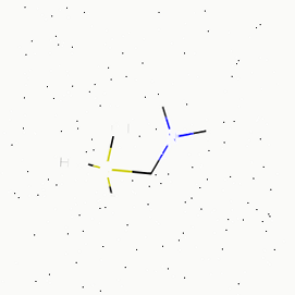 CCN(CC)CS(C)(C)CC